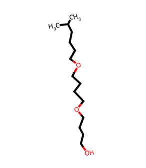 CC(C)CCCCOCCCCOCCCCO